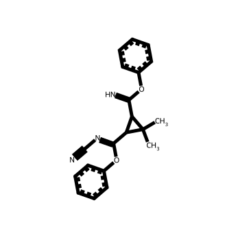 CC1(C)C(C(=N)Oc2ccccc2)C1C(=NC#N)Oc1ccccc1